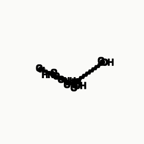 CC(=O)[C@@H](C)CCCCNC(=O)COCCOCCNC(=O)CC[C@H](NC(=O)CCCCCCCCCCCCCCCCC(=O)O)C(=O)O